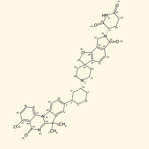 CC1(C)c2cc(C3CCC[C@@H](N4CCC5(CC4)COc4c5ccc5c4CN([C@H]4CCC(=O)NC4=O)C5=O)C3)ccc2-n2c1nc(=O)c1c(Cl)cccc12